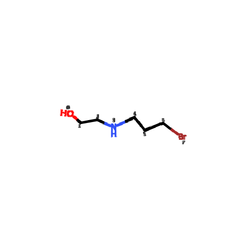 OCCNCCCBr